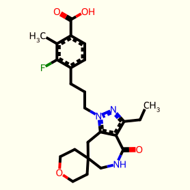 CCc1nn(CCCc2ccc(C(=O)O)c(C)c2F)c2c1C(=O)NCC1(CCOCC1)C2